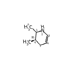 CC1NC=CC[C@H]1C